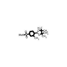 CNS(=O)(=O)c1ccc(B2OC(C)(C)C(C)(C)O2)c(C)c1